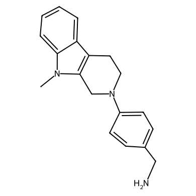 Cn1c2c(c3ccccc31)CCN(c1ccc(CN)cc1)C2